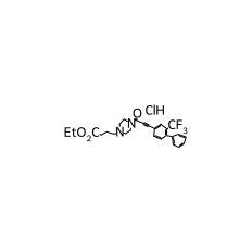 CCOC(=O)CCCN1CCN(C(=O)C#Cc2ccc(-c3ccccc3)c(C(F)(F)F)c2)CC1.Cl